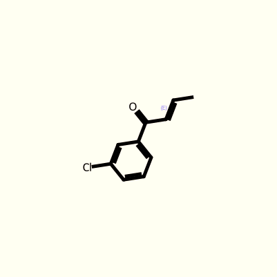 C/C=C/C(=O)c1cccc(Cl)c1